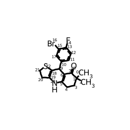 CC1(C)CCC2=C(C1=O)C(c1ccc(F)c(Br)c1)C1=C(CCS1)N2